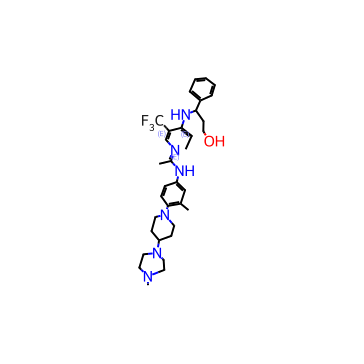 C\C=C(NC(CCO)c1ccccc1)/C(=C\N=C(/C)Nc1ccc(N2CCC(N3CCN(C)CC3)CC2)c(C)c1)C(F)(F)F